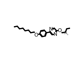 CCCCCCCCOc1ccc(-c2cnc(OC[C@@H](C)CC)cn2)cc1